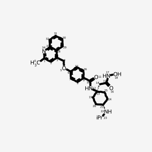 Cc1cc(COc2ccc(C(=O)N[C@]3(CC(=O)NO)CC[C@@H](NC(C)C)CC3)cc2)c2ccccc2n1